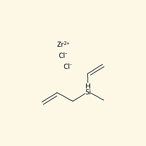 C=CC[SiH](C)C=C.[Cl-].[Cl-].[Zr+2]